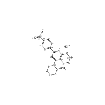 CC1COCCN1c1nc(-c2ccc([N+](=O)[O-])cc2)nc2c1CCNC2.Cl